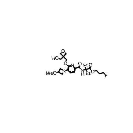 CCC(CC)(NC(=O)c1ccc(N2CC(OC)C2)c(OCC2(CO)COC2)n1)C(=O)OCCCF